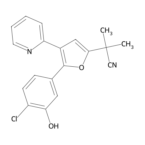 CC(C)(C#N)c1cc(-c2ccccn2)c(-c2ccc(Cl)c(O)c2)o1